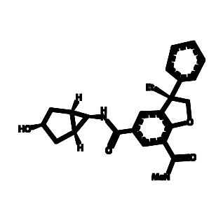 CC[C@@]1(c2ccccc2)COc2c(C(=O)NC)cc(C(=O)N[C@H]3[C@@H]4C[C@@H](O)C[C@@H]43)cc21